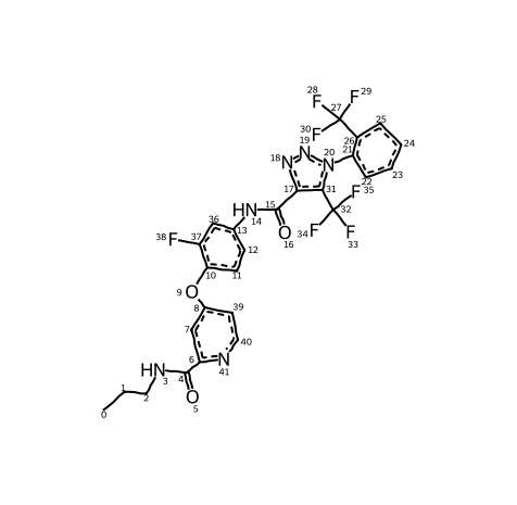 CCCNC(=O)c1cc(Oc2ccc(NC(=O)c3nnn(-c4ccccc4C(F)(F)F)c3C(F)(F)F)cc2F)ccn1